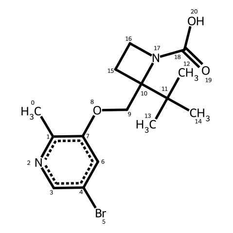 Cc1ncc(Br)cc1OCC1(C(C)(C)C)CCN1C(=O)O